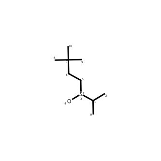 CC(C)[S+]([O-])CCC(C)(C)C